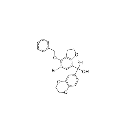 [2H]C(O)(c1ccc2c(c1)OCCO2)c1cc(Br)c(OCc2ccccc2)c2c1OCC2